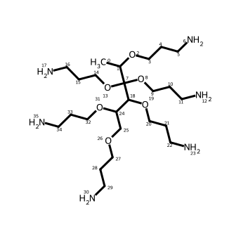 CC(OCCCN)C(OCCCN)(OCCCN)C(OCCCN)C(COCCCN)OCCCN